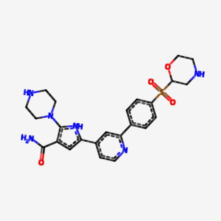 NC(=O)c1cc(-c2ccnc(-c3ccc(S(=O)(=O)C4CNCCO4)cc3)c2)[nH]c1N1CCNCC1